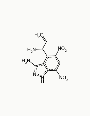 C=CC(N)c1c([N+](=O)[O-])cc([N+](=O)[O-])c2[nH]nc(N)c12